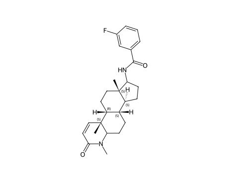 CN1C(=O)C=C[C@@]2(C)C1CC[C@@H]1[C@H]2CC[C@]2(C)C(NC(=O)c3cccc(F)c3)CC[C@@H]12